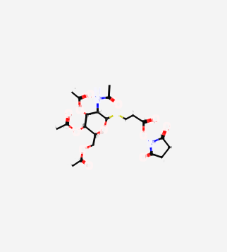 CC(=O)NC1C(SCCC(=O)ON2C(=O)CCC2=O)OC(COC(C)=O)C(OC(C)=O)C1OC(C)=O